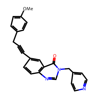 COc1ccc(CC#Cc2ccc3ncn(Cc4ccncc4)c(=O)c3c2)cc1